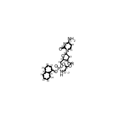 COC(=O)[C@H](C)NP(=O)(OCC1O[C@@H](n2ccc(N)nc2=O)C[C@H]1O)Oc1cccc2ccccc12